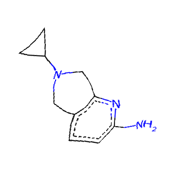 Nc1ccc2c(n1)CN(C1CC1)C2